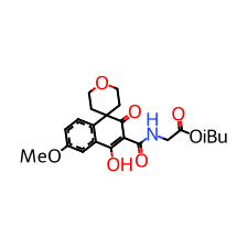 COc1ccc2c(c1)C(O)=C(C(=O)NCC(=O)OCC(C)C)C(=O)C21CCOCC1